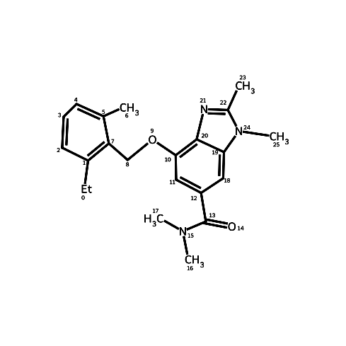 CCc1cccc(C)c1COc1cc(C(=O)N(C)C)cc2c1nc(C)n2C